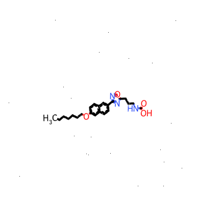 CCCCCCCOc1ccc2cc(-c3noc(CCCNC(=O)O)n3)ccc2c1